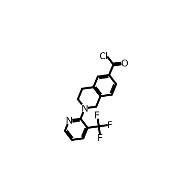 O=C(Cl)c1ccc2c(c1)CCN(c1ncccc1C(F)(F)F)C2